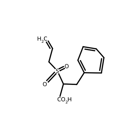 C=CCS(=O)(=O)C(Cc1ccccc1)C(=O)O